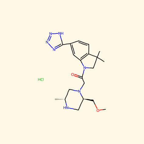 COC[C@H]1CN[C@H](C)CN1CC(=O)N1CC(C)(C)c2ccc(-c3nnn[nH]3)cc21.Cl